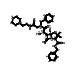 CC1(C)S[C@@H]2[C@H]([C@H](O)C(=O)N(CC(=O)NCCN3CCOCC3)Cc3ccccc3)C(=O)N2[C@H]1C(=O)OCc1ccccc1